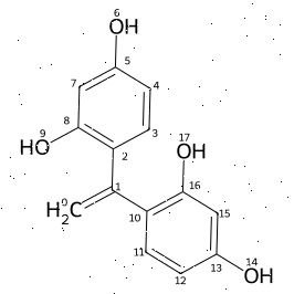 C=C(c1ccc(O)cc1O)c1ccc(O)cc1O